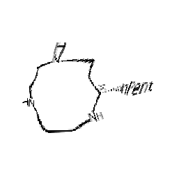 CCCCC[C@H]1CNCCNCCN1